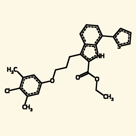 CCOC(=O)c1[nH]c2c(-c3cccs3)cccc2c1CCCOc1cc(C)c(Cl)c(C)c1